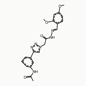 COc1ccc(/C=N/NC(=O)Cn2cc(-c3cccc(NC(C)=O)c3)nn2)c(OC)c1